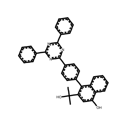 CC(C)(O)c1cc(O)c2ccccc2c1-c1ccc(-c2nc(-c3ccccc3)nc(-c3ccccc3)n2)cc1